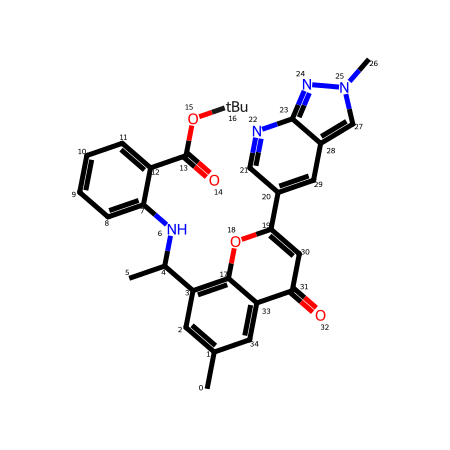 Cc1cc(C(C)Nc2ccccc2C(=O)OC(C)(C)C)c2oc(-c3cnc4nn(C)cc4c3)cc(=O)c2c1